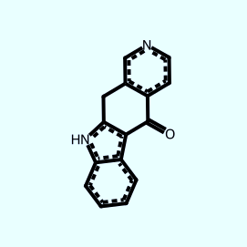 O=C1c2ccncc2Cc2[nH]c3ccccc3c21